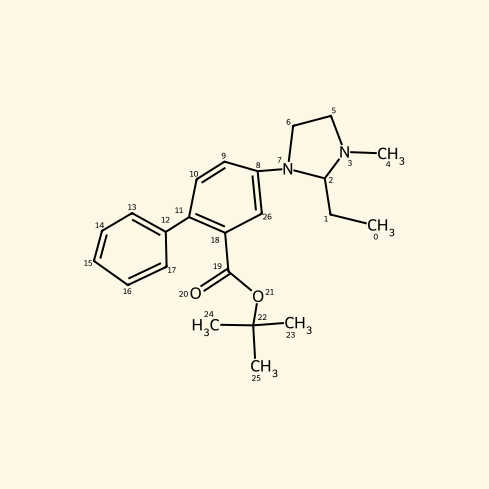 CCC1N(C)CCN1c1ccc(-c2ccccc2)c(C(=O)OC(C)(C)C)c1